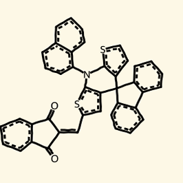 O=C1C(=Cc2cc3c(s2)N(c2cccc4ccccc24)c2sccc2C32c3ccccc3-c3ccccc32)C(=O)c2ccccc21